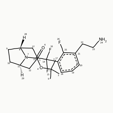 CC(C)(C)OC(=O)N1[C@@H]2CC[C@@H]1CC(C(F)(F)c1cccc(CCN)c1F)C2